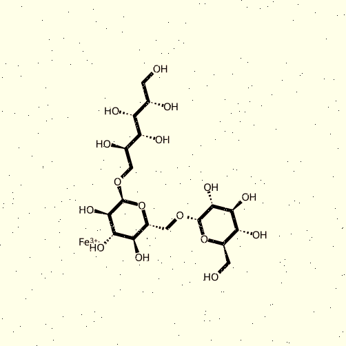 OC[C@H](O)[C@@H](O)[C@H](O)[C@H](O)CO[C@H]1O[C@H](CO[C@H]2O[C@H](CO)[C@@H](O)[C@H](O)[C@H]2O)[C@@H](O)[C@H](O)[C@H]1O.[Fe+3]